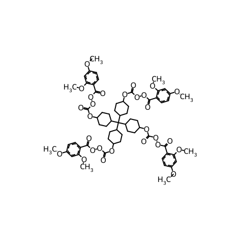 COc1ccc(C(=O)OOC(=O)OC2CCC(C(C3CCC(OC(=O)OOC(=O)c4ccc(OC)cc4OC)CC3)(C3CCC(OC(=O)OOC(=O)c4ccc(OC)cc4OC)CC3)C3CCC(OC(=O)OOC(=O)c4ccc(OC)cc4OC)CC3)CC2)c(OC)c1